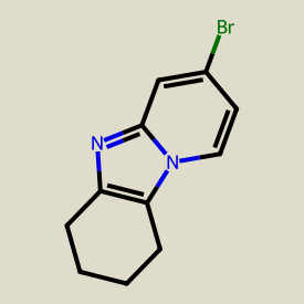 Brc1ccn2c3c(nc2c1)CCCC3